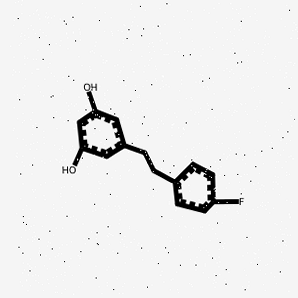 Oc1cc(O)cc(CCc2ccc(F)cc2)c1